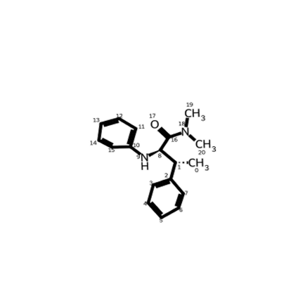 C[C@H](c1ccccc1)[C@@H](Nc1ccccc1)C(=O)N(C)C